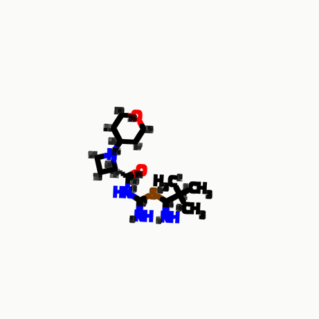 CC(C)(C)C(=N)SC(=N)NC(=O)[C@@H]1CCN1C1CCOCC1